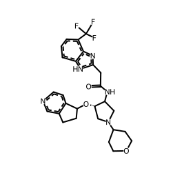 O=C(Cc1nc2c(C(F)(F)F)cccc2[nH]1)NC1CN(C2CCOCC2)C[C@@H]1OC1CCc2cnccc21